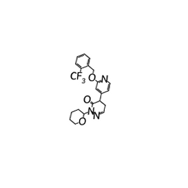 O=C1C(c2ccnc(OCc3ccccc3C(F)(F)F)c2)CC=NN1C1CCCCO1